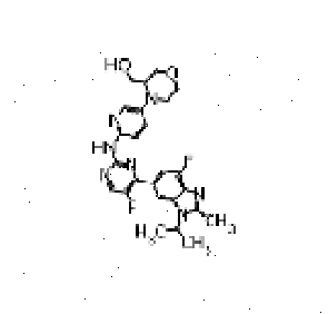 Cc1nc2c(F)cc(-c3nc(Nc4ccc(N5CCOC[C@@H]5CO)cn4)ncc3F)cc2n1C(C)C